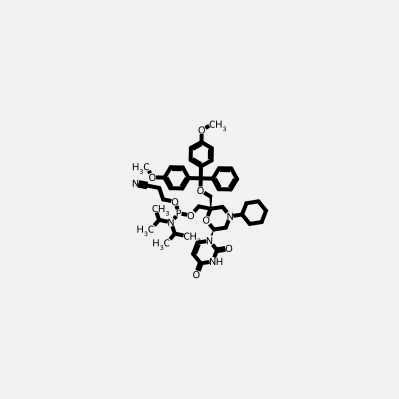 COc1ccc(C(OC[C@@]2(COP(OCCC#N)N(C(C)C)C(C)C)CN(C3CCCCC3)C[C@H](n3ccc(=O)[nH]c3=O)O2)(c2ccccc2)c2ccc(OC)cc2)cc1